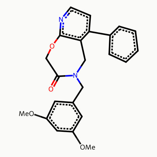 COc1cc(CN2Cc3c(-c4ccccc4)ccnc3OCC2=O)cc(OC)c1